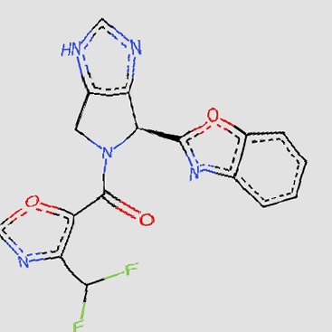 O=C(c1ocnc1C(F)F)N1Cc2[nH]cnc2[C@H]1c1nc2ccccc2o1